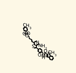 COc1cc(-c2csc3c(/C=C/CCOS(=O)(=O)c4ccc(C)cc4)cnc(N)c23)ccc1NC(=O)c1cc2ccccc2n1C